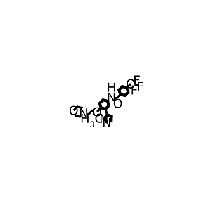 Cn1nccc1-c1cc(NC(=O)c2ccc(OC(F)(F)F)cc2)ccc1OCCN1CCOCC1